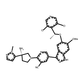 COc1cc2[nH]nc(-c3cnc(N4CC[C@@](N)(c5ccnn5C)C4)c(C#N)c3)c2cc1O[C@H](C)c1c(Cl)cncc1Cl